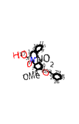 COc1cc(C(=O)N2Cc3ccccc3C[C@H]2CO)c([N+](=O)[O-])cc1OCc1ccccc1